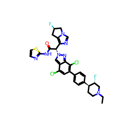 CCN1CC[C@@H](c2ccc(-c3cc(Cl)c4cn([C@H](C(=O)Nc5nccs5)c5ncn6c5C[C@@H](F)C6)nc4c3Cl)cc2)[C@H](F)C1